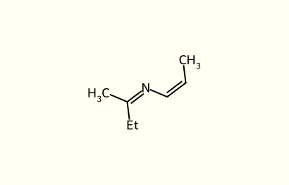 C/C=C\N=C(\C)CC